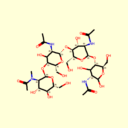 CC(=O)N[C@H]1C(O)O[C@H](CO)[C@@H](O[C@H]2O[C@H](CO)[C@@H](O[C@@H]3O[C@H](CO)[C@@H](O[C@H]4O[C@H](CO)[C@@H](O)[C@H](O)[C@H]4N(C)C(C)=O)C(O)[C@H]3NC(C)=O)[C@H](O)[C@H]2NC(C)=O)C1O